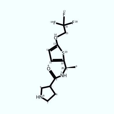 C[C@@H](NC(=O)C1CCNC1)c1ccc(OCC(F)(F)F)s1